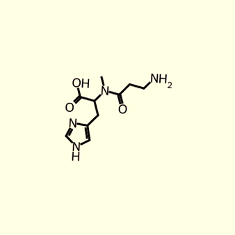 CN(C(=O)CCN)C(Cc1c[nH]cn1)C(=O)O